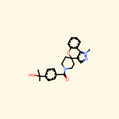 Cn1ncc2c1-c1ccccc1OC21CCN(C(=O)c2ccc(C(C)(C)O)cc2)CC1